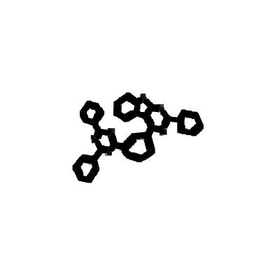 c1ccc(-c2nc(-c3ccccc3)nc(-c3cccc(-c4nc(-c5ccccc5)nc5sc6ccccc6c45)c3)n2)cc1